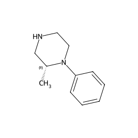 C[C@@H]1CNCCN1c1ccccc1